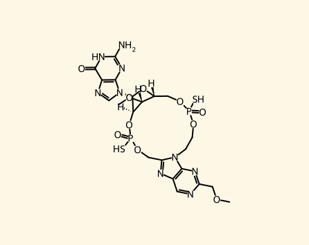 COCc1ncc2nc3n(c2n1)CCOP(=O)(S)OC[C@H]1O[C@@H](n2cnc4c(=O)[nH]c(N)nc42)[C@H](OP(=O)(S)OC3)[C@@H]1OC